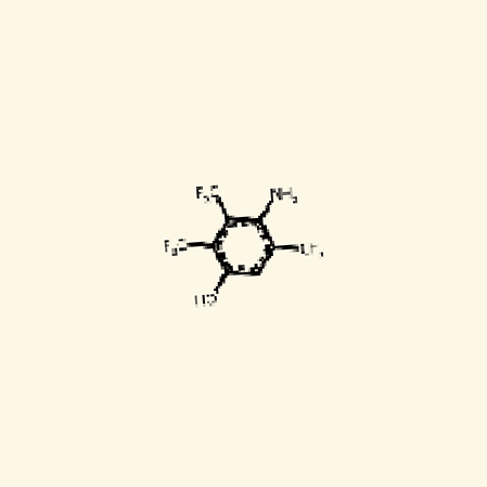 Nc1c(C(F)(F)F)cc(O)c(C(F)(F)F)c1C(F)(F)F